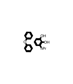 CCCc1cccc(O)c1O.c1ccc(Oc2ccccc2)cc1